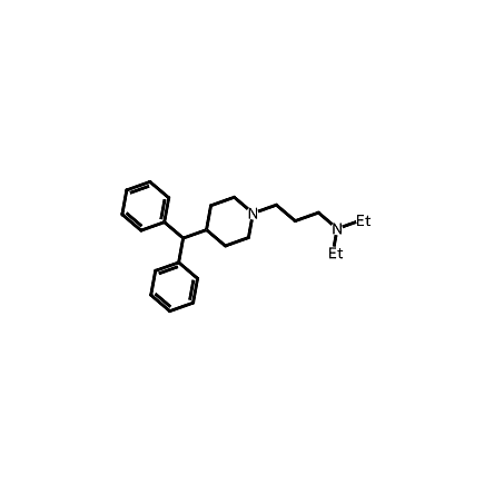 CCN(CC)CCCN1CCC(C(c2ccccc2)c2ccccc2)CC1